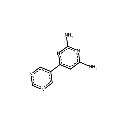 Nc1cc(-c2cncnc2)nc(N)n1